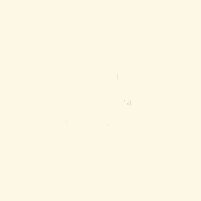 ClC(Cl)=C(Cl)Cl.N